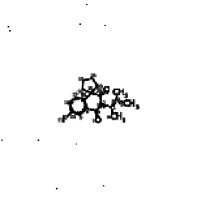 CC(N(C)C)N1C(=O)c2cc(F)ccc2C2(CCCC2)C1=O